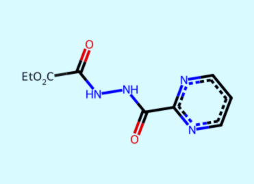 CCOC(=O)C(=O)NNC(=O)c1ncccn1